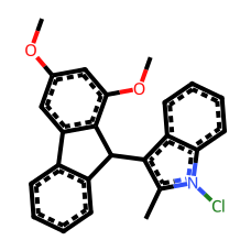 COc1cc(OC)c2c(c1)-c1ccccc1C2c1c(C)n(Cl)c2ccccc12